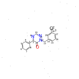 O=c1c(-c2ccccc2)ncnn1Cc1cccc(C(F)(F)F)c1